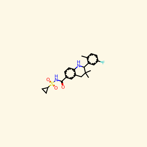 Cc1ccc(F)cc1C1Nc2ccc(C(=O)NS(=O)(=O)C3CC3)cc2CC1(C)C